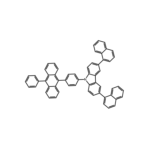 c1ccc(-c2c3ccccc3c(-c3ccc(-n4c5ccc(-c6cccc7ccccc67)cc5c5cc(-c6cccc7ccccc67)ccc54)cc3)c3ccccc23)cc1